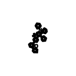 CC1(C)c2cc(-c3cccc4c3oc3ccccc34)ccc2-c2c1cc1c(c2-c2ccccc2)c2ccccc2n1-c1ccccc1